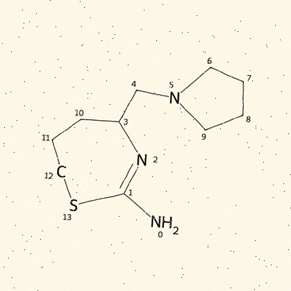 NC1=NC(CN2CCCC2)CCCS1